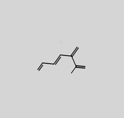 C=C(C=CC=O)C(=O)[O-].[Na+]